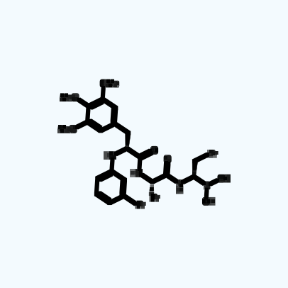 COc1cc(C[C@H](Nc2cccc(C(C)C)c2)C(=O)N[C@H](C(=O)N[C@@H](CC(C)C)B(O)O)C(C)C)cc(OC)c1OC